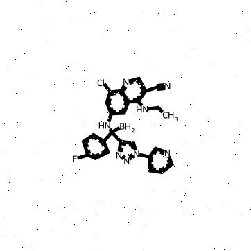 BC(Nc1cc(Cl)c2ncc(C#N)c(NCC)c2c1)(c1ccc(F)cc1)c1cn(-c2cccnc2)nn1